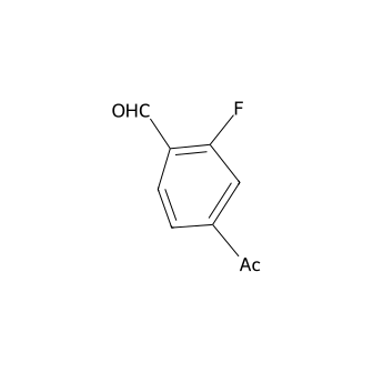 CC(=O)c1ccc(C=O)c(F)c1